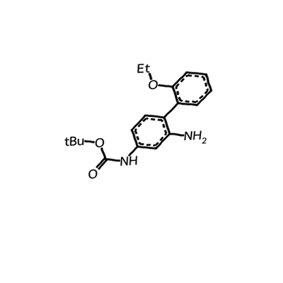 CCOc1ccccc1-c1ccc(NC(=O)OC(C)(C)C)cc1N